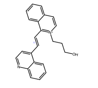 OCCC[n+]1ccc2ccccc2c1/C=C/c1ccnc2ccccc12